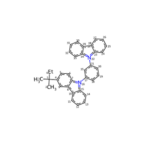 CCC(C)(C)c1ccc2c(c1)c1ccccc1n2-c1cccc(-n2c3ccccc3c3ccccc32)c1